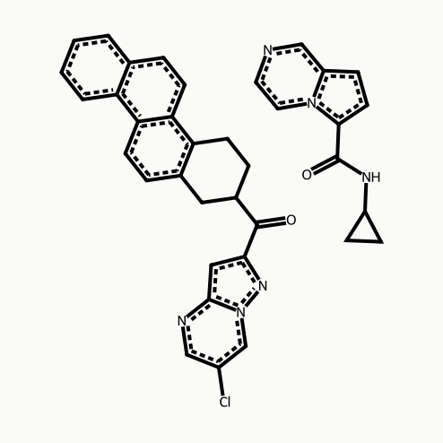 O=C(NC1CC1)c1ccc2cnccn12.O=C(c1cc2ncc(Cl)cn2n1)C1CCc2c(ccc3c2ccc2ccccc23)C1